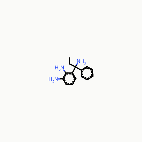 CCC(N)(c1ccccc1)c1cccc(N)c1N